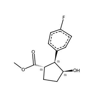 COC(=O)[C@H]1CC[C@H](O)[C@@H]1c1ccc(F)cc1